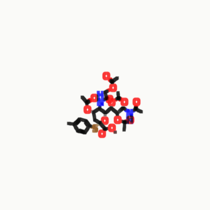 COC(=O)[C@@]1(Sc2ccc(C)cc2)C[C@H](OC(C)=O)[C@@H](NC(=O)COC(C)=O)[C@H]([C@H](OC(C)=O)[C@@H](CNC(C)=O)OC(C)=O)O1